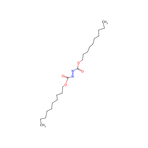 CCCCCCCCCCOC(=O)N=NC(=O)OCCCCCCCCCC